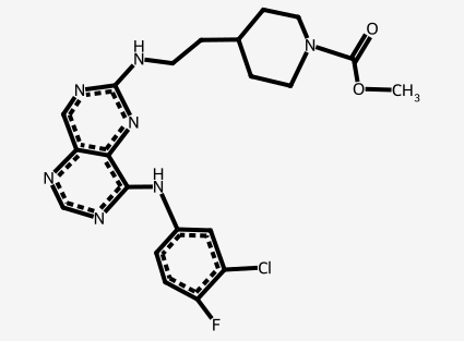 COC(=O)N1CCC(CCNc2ncc3ncnc(Nc4ccc(F)c(Cl)c4)c3n2)CC1